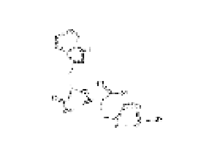 O=C(O)[C@H](Cc1ccc(O)cc1)NN[C@@H](Cc1c[nH]c2ccccc12)C(=O)O